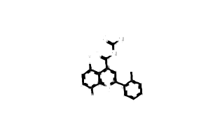 Cc1ccccc1-c1cc(C(=O)NC(=N)N)c2c(O)ccc(O)c2n1